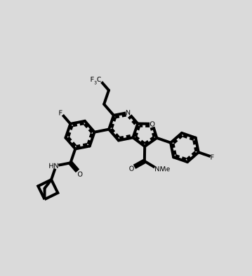 CNC(=O)c1c(-c2ccc(F)cc2)oc2nc(CCC(F)(F)F)c(-c3cc(F)cc(C(=O)NC45CC(C4)C5)c3)cc12